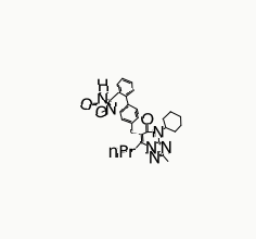 CCCc1c(Cc2ccc(-c3ccccc3-c3noc(=O)[nH]3)cc2)c(=O)n(C2CCCCC2)c2nc(C)nn12